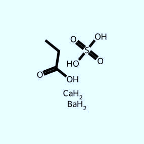 CCC(=O)O.O=S(=O)(O)O.[BaH2].[CaH2]